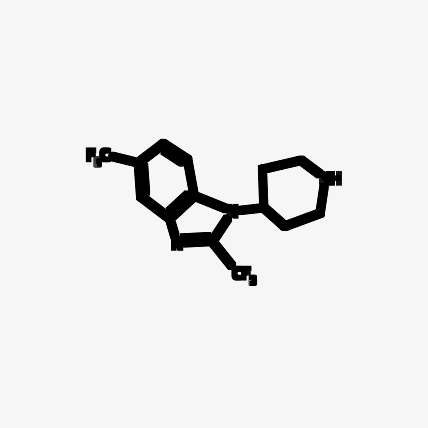 FC(F)(F)c1ccc2c(c1)nc(C(F)(F)F)n2C1CCNCC1